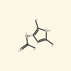 CC(O)=S.Cc1ccc(C)o1